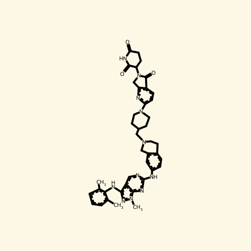 Cc1cccc(C)c1Nc1nn(C)c2nc(Nc3ccc4c(c3)CN(CC3CCN(c5ccc6c(n5)CN(C5CCC(=O)NC5=O)C6=O)CC3)CC4)ncc12